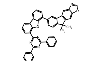 CC1(C)c2ccc(-c3cccc4c3oc3c(-c5nc(-c6ccccc6)nc(-c6ccccc6)n5)cccc34)cc2-c2cc3ncoc3cc21